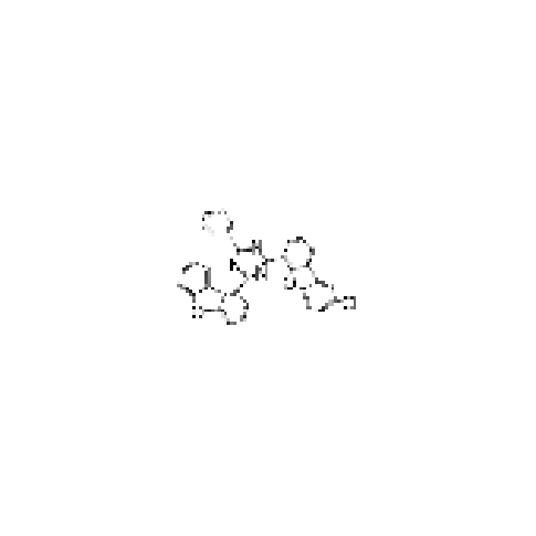 Clc1ccc2oc3c(-c4nc(-c5ccccc5)nc(-c5cccc6oc7ccccc7c56)n4)cccc3c2c1